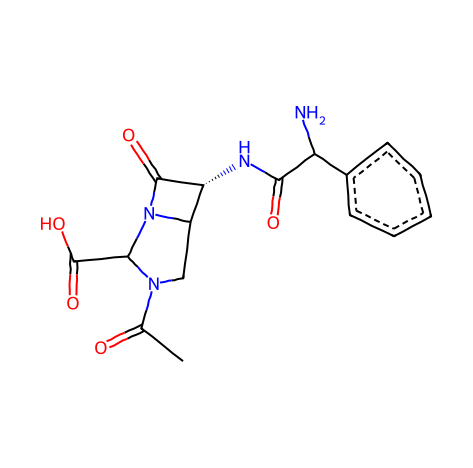 CC(=O)N1CC2[C@@H](NC(=O)C(N)c3ccccc3)C(=O)N2C1C(=O)O